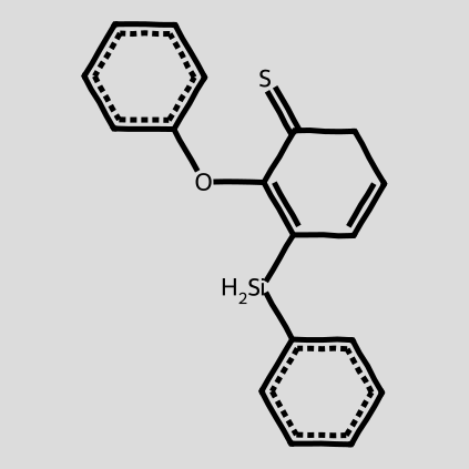 S=C1CC=CC([SiH2]c2ccccc2)=C1Oc1ccccc1